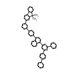 CC1(C)c2ccccc2-c2ccc(-c3cccc(-c4ccc(-c5ccc(-c6cc(-c7ccc(-c8ccccc8)cc7)nc(-c7ccccc7)n6)c6ccccc56)cc4)c3)cc21